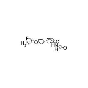 CO[C@H]1C[C@@H](NC(=O)[C@H]2C3CC4CC2C[C@@](c2ccc(OC/C(=C/F)CN)cc2)(C4)C3)C1